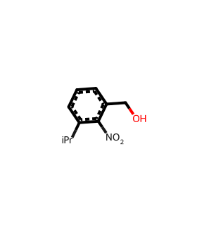 CC(C)c1cccc(CO)c1[N+](=O)[O-]